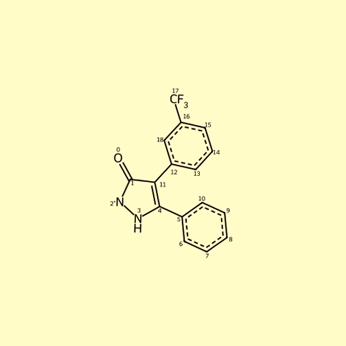 O=C1[N]NC(c2ccccc2)=C1c1cccc(C(F)(F)F)c1